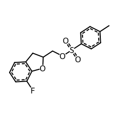 Cc1ccc(S(=O)(=O)OCC2Cc3cccc(F)c3O2)cc1